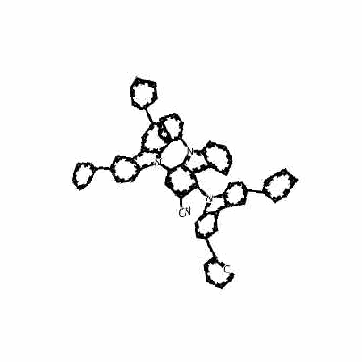 N#Cc1cc(-n2c3ccc(-c4ccccc4)cc3c3cc(-c4ccccc4)ccc32)c2c(c1-n1c3ccc(-c4ccccc4)cc3c3cc(-c4ccccc4)ccc31)c1ccccc1n2-c1ccccc1